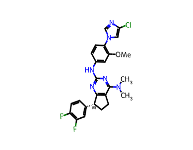 COc1cc(Nc2nc3c(c(N(C)C)n2)CC[C@@H]3c2ccc(F)c(F)c2)ccc1-n1cnc(Cl)c1